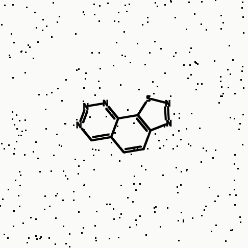 c1cc2nnsc2c2nnncc12